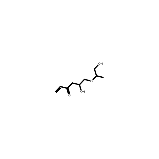 C=CC(=O)CC(O)COC(C)CO